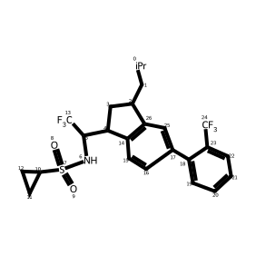 CC(C)CC1CC(C(NS(=O)(=O)C2CC2)C(F)(F)F)c2ccc(-c3ccccc3C(F)(F)F)cc21